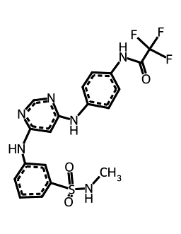 CNS(=O)(=O)c1cccc(Nc2cc(Nc3ccc(NC(=O)C(F)(F)F)cc3)ncn2)c1